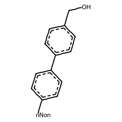 CCCCCCCCCc1ccc(-c2ccc(CO)cc2)cc1